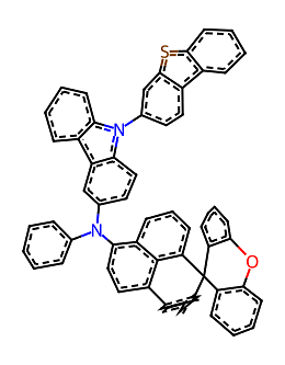 c1ccc(N(c2ccc3c(c2)c2ccccc2n3-c2ccc3c(c2)sc2ccccc23)c2ccc3c4c(cccc24)C2(c4ccccc4Oc4ccccc42)c2ccccc2-3)cc1